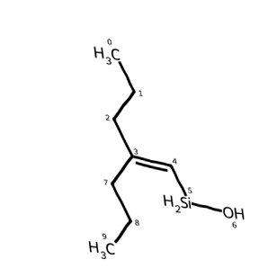 CCCC(=C[SiH2]O)CCC